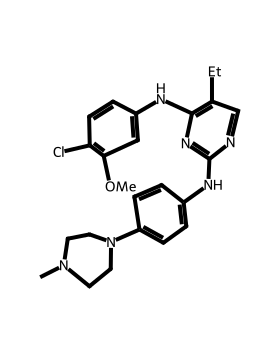 CCc1cnc(Nc2ccc(N3CCN(C)CC3)cc2)nc1Nc1ccc(Cl)c(OC)c1